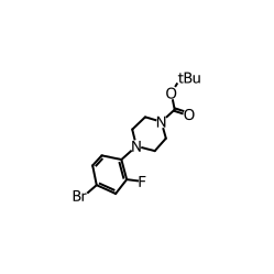 CC(C)(C)OC(=O)N1CCN(c2ccc(Br)cc2F)CC1